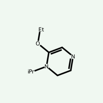 CCOC1=CN=CCN1C(C)C